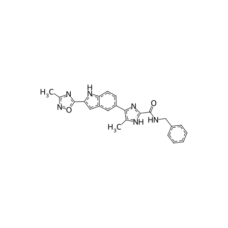 Cc1noc(-c2cc3cc(-c4nc(C(=O)NCc5ccccc5)[nH]c4C)ccc3[nH]2)n1